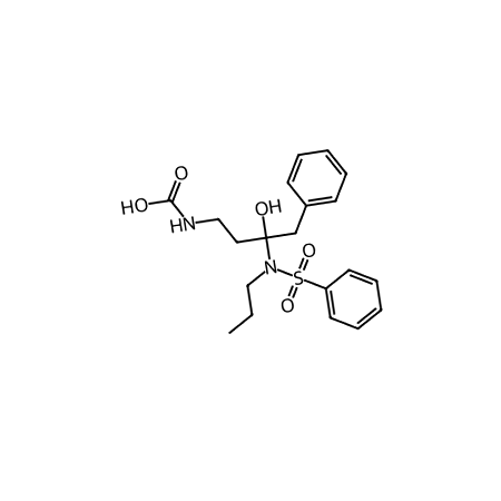 CCCN(C(O)(CCNC(=O)O)Cc1ccccc1)S(=O)(=O)c1ccccc1